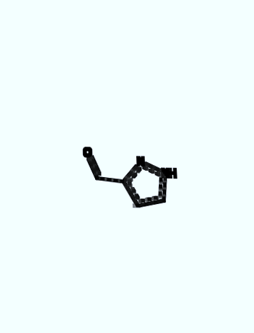 O=Cc1[c]c[nH]n1